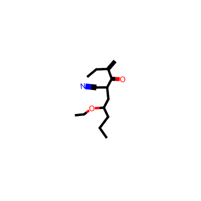 C=C(CC)C(=O)C(C#N)CC(CCC)OCC